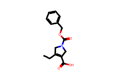 CCC1=C(C(=O)O)CN(C(=O)OCc2ccccc2)C1